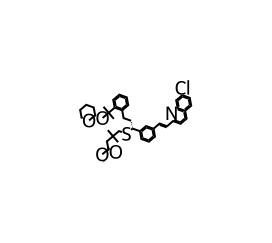 COC(=O)CC(C)(C)CS[C@H](CCc1ccccc1C(C)(C)OC1CCCCO1)c1cccc(C=Cc2ccc3ccc(Cl)cc3n2)c1